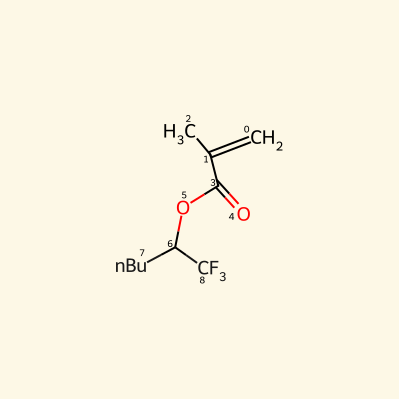 C=C(C)C(=O)OC(CCCC)C(F)(F)F